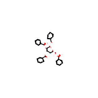 O=C(OC[C@H]1O[C@@H](OC(=O)c2ccccc2)[C@H](OC(=O)c2ccccc2)[C@@H](OC(=O)c2ccccc2)[C@@H]1F)c1ccccc1